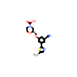 Cc1cnc(-c2cc(C#N)cc(OC[C@@H]3CN(C(=O)O)CCO3)c2)s1